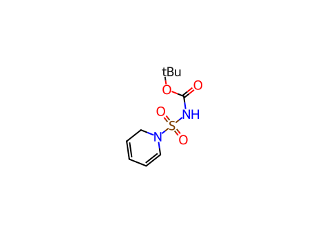 CC(C)(C)OC(=O)NS(=O)(=O)N1C=CC=CC1